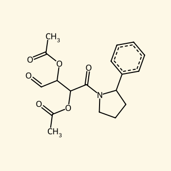 CC(=O)OC(C=O)C(OC(C)=O)C(=O)N1CCCC1c1ccccc1